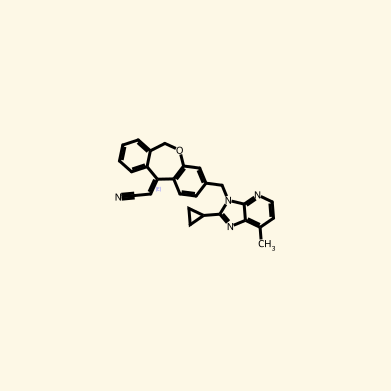 Cc1ccnc2c1nc(C1CC1)n2Cc1ccc2c(c1)OCc1ccccc1/C2=C\C#N